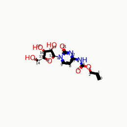 C=CCOC(=O)Nc1ccn([C@@H]2O[C@H](CO)C(O)[C@@H]2O)c(=O)n1